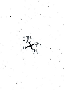 N.[Li][C](C)(C)C